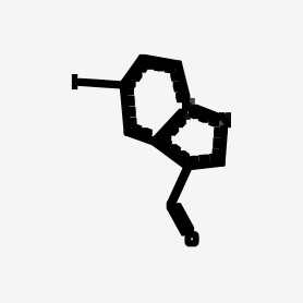 O=Cc1cnn2ccc(I)cc12